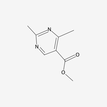 COC(=O)c1cnc(C)nc1C